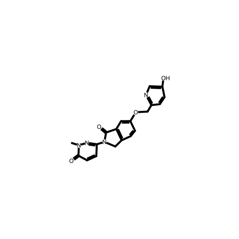 Cn1nc(N2Cc3ccc(OCc4ccc(O)cn4)cc3C2=O)ccc1=O